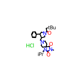 CC(C)CN1C(=O)N(C)C(=O)C12CCN(CC1CN(C(=O)CC(C)(C)C)CC1c1ccccc1)CC2.Cl